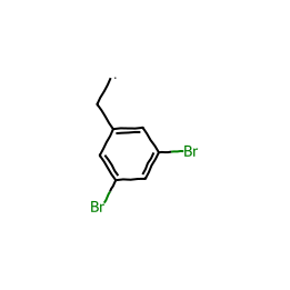 [CH2]Cc1cc(Br)cc(Br)c1